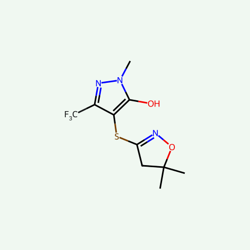 Cn1nc(C(F)(F)F)c(SC2=NOC(C)(C)C2)c1O